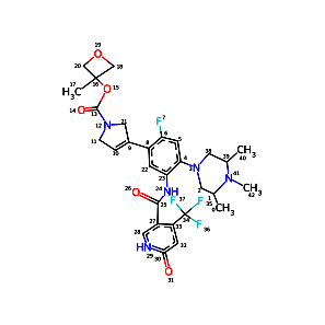 CC1CN(c2cc(F)c(C3=CCN(C(=O)OC4(C)COC4)C3)cc2NC(=O)c2c[nH]c(=O)cc2C(F)(F)F)CC(C)N1C